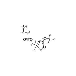 CC(C)(C)OC(=O)NC1(COC(=O)CCS)CC1